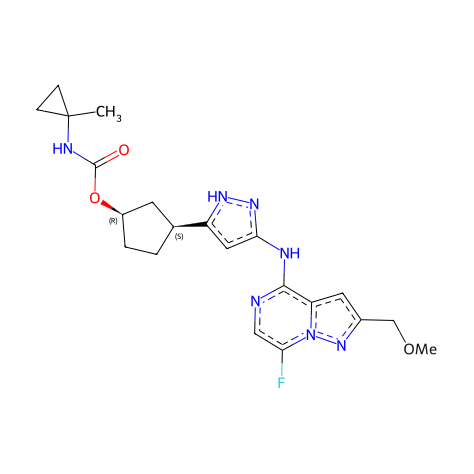 COCc1cc2c(Nc3cc([C@H]4CC[C@@H](OC(=O)NC5(C)CC5)C4)[nH]n3)ncc(F)n2n1